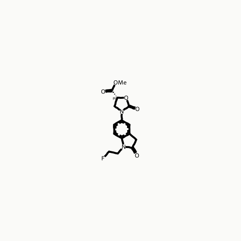 COC(=O)[C@H]1CN(c2ccc3c(c2)CC(=O)N3CCF)C(=O)O1